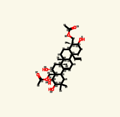 C=C[C@]12CC[C@H](O)[C@](C)(COC(C)=O)C1CC[C@]1(C)C2CC=C2C3CC(C)(C)[C@@H](O)[C@H](O)[C@]3(COC(C)=O)[C@H](O)C[C@]21C